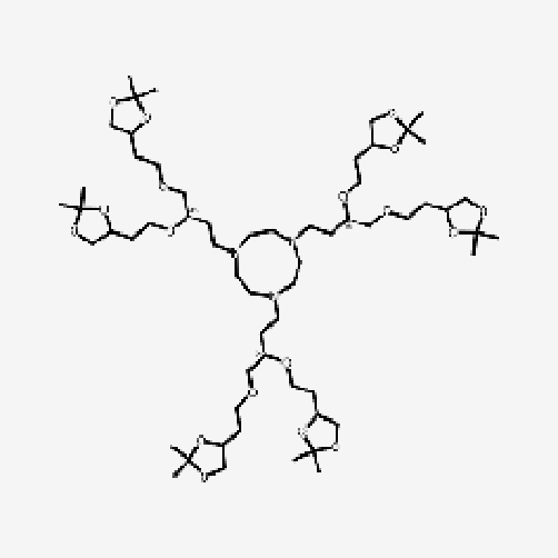 CC1(C)OCC(CCOC[C@@H](CCN2CCN(CC[C@H](COCCC3COC(C)(C)O3)OCCC3COC(C)(C)O3)CCN(CC[C@H](COCCC3COC(C)(C)O3)OCCC3COC(C)(C)O3)CC2)OCCC2COC(C)(C)O2)O1